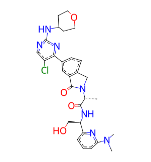 C[C@H](C(=O)N[C@H](CO)c1cccc(N(C)C)n1)N1Cc2ccc(-c3nc(NC4CCOCC4)ncc3Cl)cc2C1=O